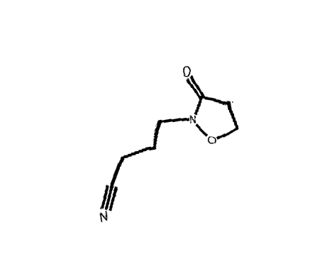 N#CCCCN1OC[CH]C1=O